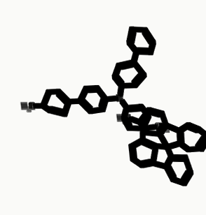 Cc1ccc2c(c1)C1(C3=C2C=CC#CC3)c2ccccc2-c2cccc(C3(C)C=CC(N(c4ccc(C5=CCC(C)C=C5)cc4)c4ccc(-c5ccccc5)cc4)=CC3)c21